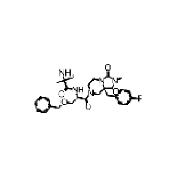 CN1C(=O)N2CCN(C(=O)[C@@H](COCc3ccccc3)NC(=O)C(C)(C)N)C[C@@]2(Cc2ccc(F)cc2)C1=O